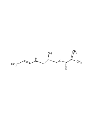 C=C(C)C(=O)OCC(O)CN/C=C/C(=O)O